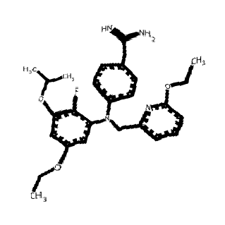 CCOc1cc(OC(C)C)c(F)c(N(Cc2cccc(OCC)n2)c2ccc(C(=N)N)cc2)c1